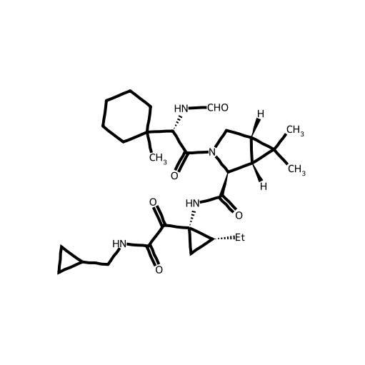 CC[C@@H]1C[C@@]1(NC(=O)[C@@H]1[C@@H]2[C@H](CN1C(=O)[C@@H](NC=O)C1(C)CCCCC1)C2(C)C)C(=O)C(=O)NCC1CC1